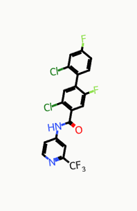 O=C(Nc1ccnc(C(F)(F)F)c1)c1cc(F)c(-c2ccc(F)cc2Cl)cc1Cl